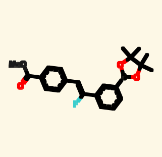 COC(=O)c1ccc(C=C(F)c2cccc(B3OC(C)(C)C(C)(C)O3)c2)cc1